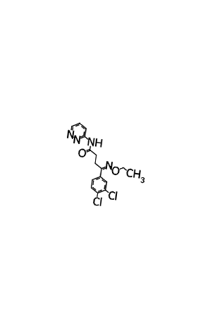 CCON=C(CCC(=O)Nc1cccnn1)c1ccc(Cl)c(Cl)c1